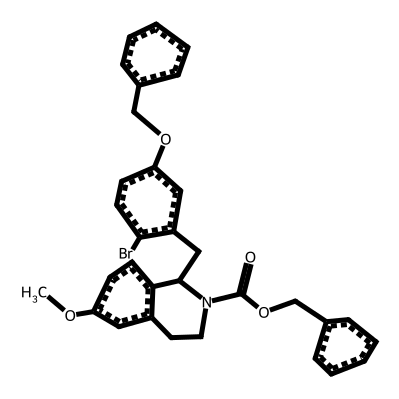 COc1ccc2c(c1)CCN(C(=O)OCc1ccccc1)C2Cc1cc(OCc2ccccc2)ccc1Br